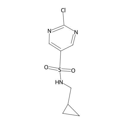 O=S(=O)(NCC1CC1)c1cnc(Cl)nc1